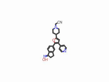 N#CCN1CCC(c2cc(-c3ccncc3)c(-c3ccc4c(c3)CCC4=NO)o2)CC1